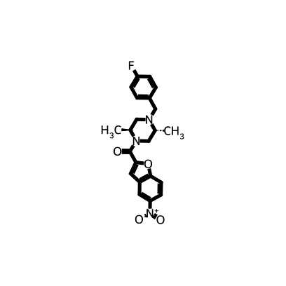 C[C@@H]1CN(C(=O)c2cc3cc([N+](=O)[O-])ccc3o2)[C@@H](C)CN1Cc1ccc(F)cc1